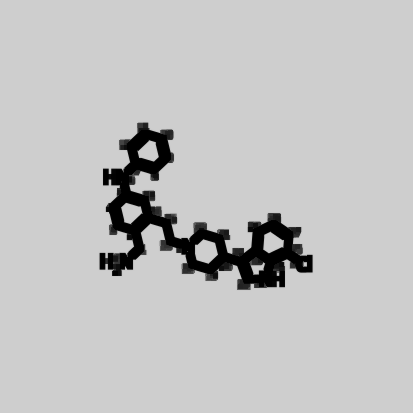 NCc1ccc(Nc2ccccc2)cc1CCN1CCC(c2c[nH]c3c(Cl)cccc23)CC1